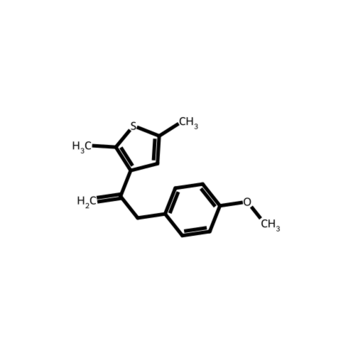 C=C(Cc1ccc(OC)cc1)c1cc(C)sc1C